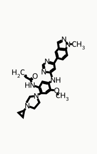 C=CC(=O)Nc1cc(Nc2cc(-c3ccc4c(cnn4C)c3)ncn2)c(OC)cc1N1CCN(C2CC2)CC1